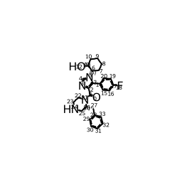 O=C(c1ncn([C@H]2CCCC[C@@H]2O)c1-c1ccc(F)cc1)N1CCNC[C@H]1Cc1ccccc1